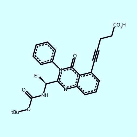 CC[C@H](NC(=O)OC(C)(C)C)c1nc2cccc(C#CCCC(=O)O)c2c(=O)n1-c1ccccc1